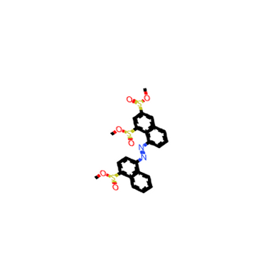 COS(=O)c1cc(S(=O)OC)c2c(/N=N/c3ccc(S(=O)OC)c4ccccc34)cccc2c1